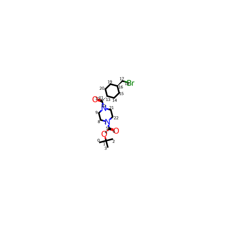 CC(C)(C)OC(=O)N1CCN(C(=O)[C@H]2CC[C@H](CBr)CC2)CC1